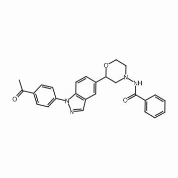 CC(=O)c1ccc(-n2ncc3cc(C4CN(NC(=O)c5ccccc5)CCO4)ccc32)cc1